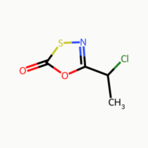 CC(Cl)c1nsc(=O)o1